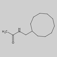 CC(=O)NCC1CCCCCCCCC1